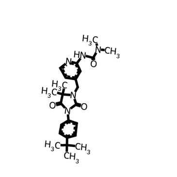 CN(C)C(=O)Nc1cc(CN2C(=O)N(c3ccc(C(C)(C)C)cc3)C(=O)C2(C)C)ccn1